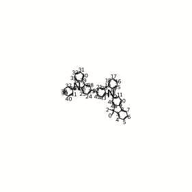 CC1(C)c2ccccc2-c2ccc(-n3c4ccccc4c4cc(-c5ccc6c(c5)c5ccccc5n6-c5ccccc5)ccc43)cc21